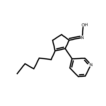 CCCCCC1=C(c2cccnc2)C(=NO)CC1